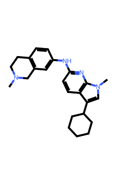 CN1CCc2ccc(Nc3ccc4c(C5CCCCC5)cn(C)c4n3)cc2C1